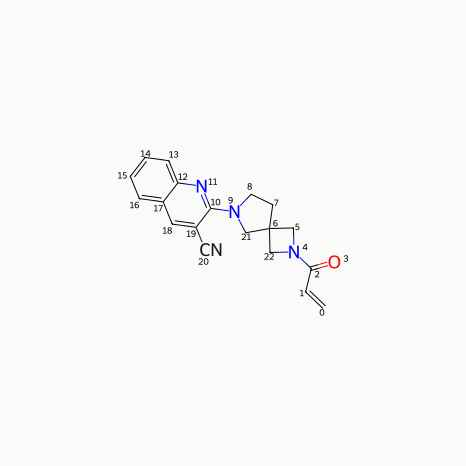 C=CC(=O)N1CC2(CCN(c3nc4ccccc4cc3C#N)C2)C1